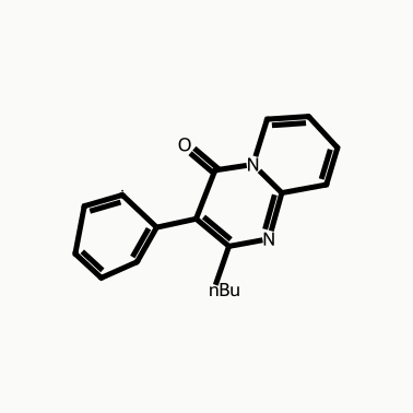 CCCCc1nc2ccccn2c(=O)c1-c1[c]cccc1